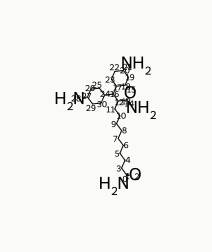 NC(=O)CCCCCCCCCC(C(N)=O)C(C1CCC(N)CC1)C1CCC(N)CC1